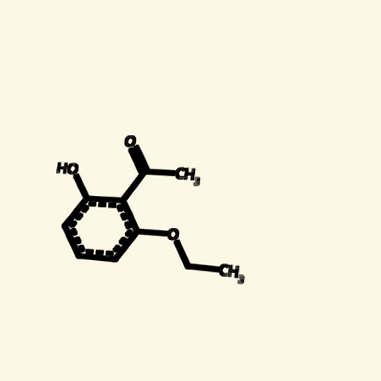 CCOc1cccc(O)c1C(C)=O